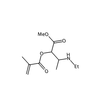 C=C(C)C(=O)OC(C(=O)OC)C(C)NCC